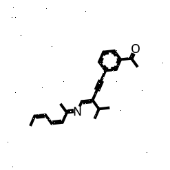 C\C=C/C=C\C(C)=N\C=C(\C#Cc1cccc(C(C)=O)c1)C(C)C